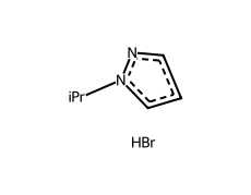 Br.CC(C)n1cccn1